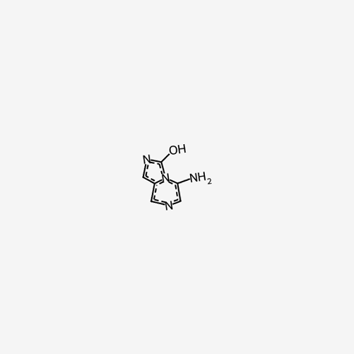 Nc1cncc2cnc(O)n12